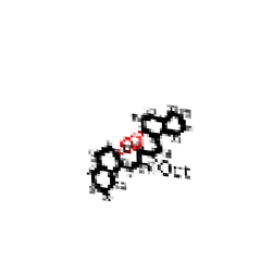 CCCCCCCCC1=Cc2c(ccc3ccccc23)OC12C=Cc1c(ccc3ccccc13)O2